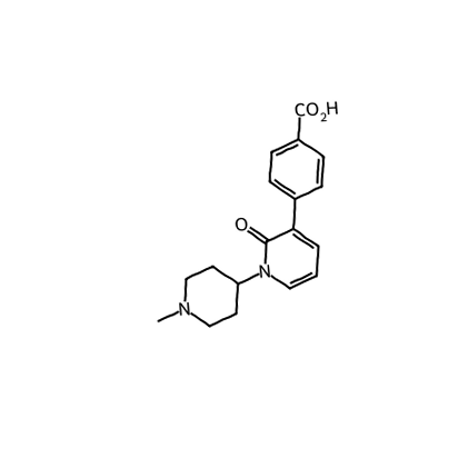 CN1CCC(n2cccc(-c3ccc(C(=O)O)cc3)c2=O)CC1